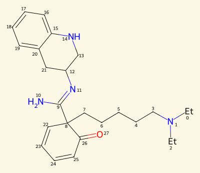 CCN(CC)CCCCCC1(C(N)=NC2CNc3ccccc3C2)C=CC=CC1=O